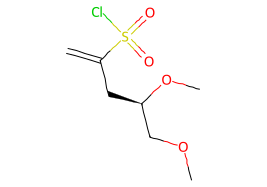 C=C(C[C@H](COC)OC)S(=O)(=O)Cl